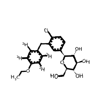 [2H]c1c([2H])c(OCC)c([2H])c([2H])c1Cc1cc([C@@H]2O[C@H](CO)[C@@H](O)[C@H](O)[C@H]2O)ccc1Cl